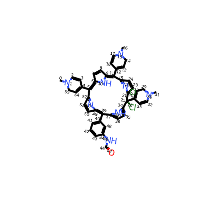 CN1C=CC(C2=c3ccc([nH]3)=C(C3=CCN(C)C=C3)C3=NC(Cl)(C=C3)C(Cl)(C3=CCN(C)C=C3)c3ccc([nH]3)C(c3cccc(NC=O)c3)=C3C=CC2=N3)=CC1